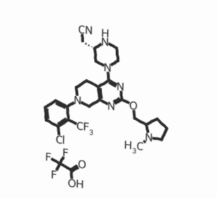 CN1CCCC1COc1nc2c(c(N3CCN[C@@H](CC#N)C3)n1)CCN(c1cccc(Cl)c1C(F)(F)F)C2.O=C(O)C(F)(F)F